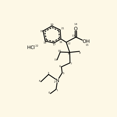 CCN(CC)CCCC(C)(CC)C(C(=O)O)c1ccccc1.Cl